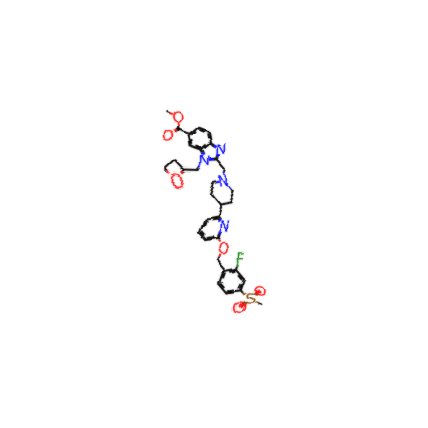 COC(=O)c1ccc2nc(CN3CCC(c4cccc(OCc5ccc(S(C)(=O)=O)cc5F)n4)CC3)n(CC3CCO3)c2c1